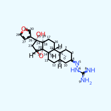 C[C@]12CCC(=NNC(=N)N)C[C@H]1CC[C@@H]1[C@@H]2CC[C@@]2(C)[C@@]13O[C@@H]3C[C@@]2(O)c1ccoc1